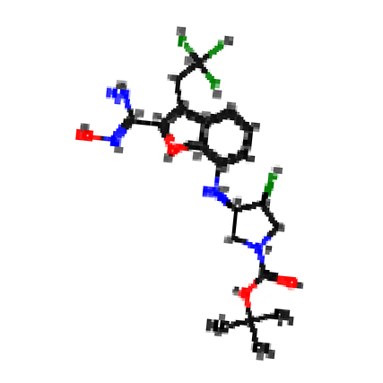 CC(C)(C)OC(=O)N1C[C@H](F)[C@H](Nc2cccc3c(CC(F)(F)F)c(/C(N)=N/O)oc23)C1